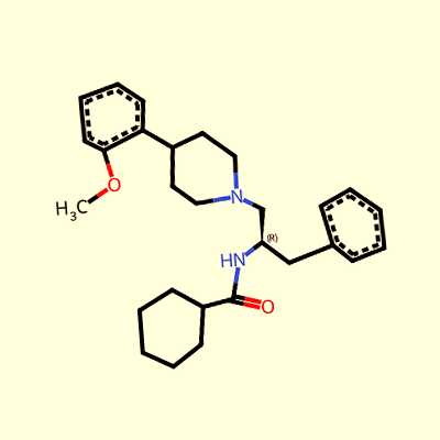 COc1ccccc1C1CCN(C[C@@H](Cc2ccccc2)NC(=O)C2CCCCC2)CC1